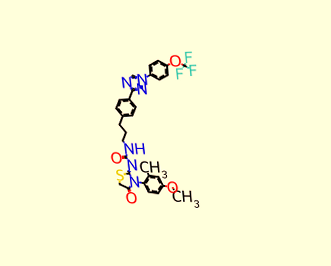 COc1ccc(N2C(=O)CS/C2=N\C(=O)NCCCc2ccc(-c3ncn(-c4ccc(OC(F)(F)F)cc4)n3)cc2)c(C)c1